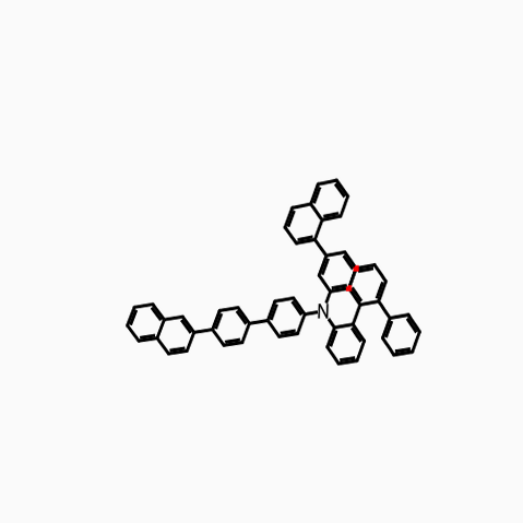 c1ccc(-c2ccccc2-c2ccccc2N(c2ccc(-c3ccc(-c4ccc5ccccc5c4)cc3)cc2)c2cccc(-c3cccc4ccccc34)c2)cc1